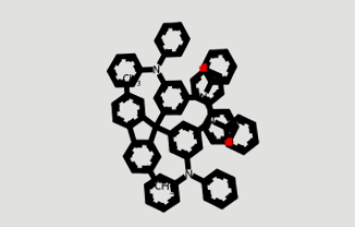 Cc1ccc2c(c1)C(c1cc(N(c3ccccc3)c3ccccc3)cc(N(c3ccccc3)c3ccccc3)c1)(c1cc(N(c3ccccc3)c3ccccc3)cc(N(c3ccccc3)c3ccccc3)c1)c1cc(C)ccc1-2